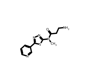 CN(C(=O)CCN)c1nnc(-c2cccnc2)s1